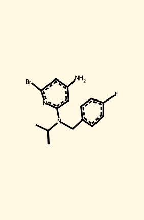 CC(C)N(Cc1ccc(F)cc1)c1cc(N)cc(Br)n1